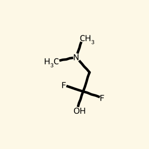 CN(C)CC(O)(F)F